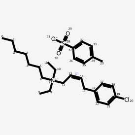 CCCCCCC[N+](CC)(CC)C/C=C\Cc1ccc(Cl)cc1.Cc1ccc(S(=O)(=O)[O-])cc1